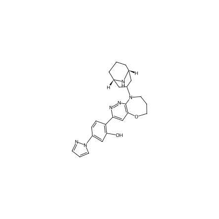 Oc1cc(-n2cccn2)ccc1-c1cc2c(nn1)N(C1C[C@H]3CCC[C@@H](C1)N3)CCCO2